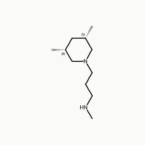 CNCCCN1C[C@H](C)C[C@H](C)C1